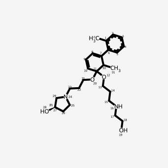 Cc1ccccc1C1=CC=CC(OCCCNCCO)(OCCCN2CC[C@@H](O)C2)C1C